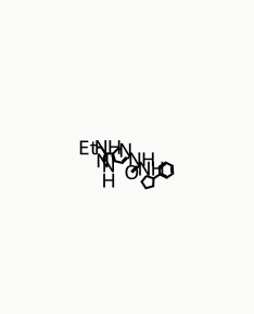 CCNc1n[nH]c2cc(NC(=O)NC3CCCC3c3ccccc3)ncc12